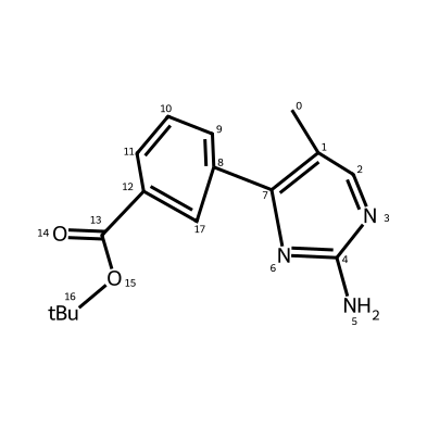 Cc1cnc(N)nc1-c1cccc(C(=O)OC(C)(C)C)c1